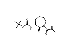 CNC(=O)N1CCCC[C@@H](NC(=O)OC(C)(C)C)C1=O